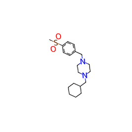 CS(=O)(=O)c1ccc(CN2CCN(CC3CCCCC3)CC2)cc1